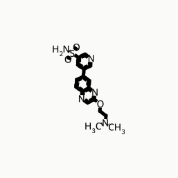 CN(C)CCOc1cnc2ccc(-c3cncc(S(N)(=O)=O)c3)cc2n1